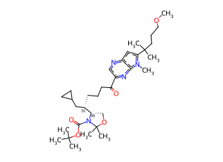 COCCCC(C)(C)c1cc2ncc(C(=O)CCC[C@@H](CC3CC3)[C@@H]3COC(C)(C)N3C(=O)OC(C)(C)C)nc2n1C